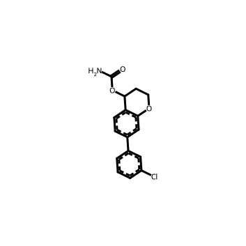 NC(=O)OC1CCOc2cc(-c3cccc(Cl)c3)ccc21